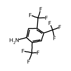 Nc1cc(C(F)(F)F)c(C(F)(F)F)cc1C(F)(F)F